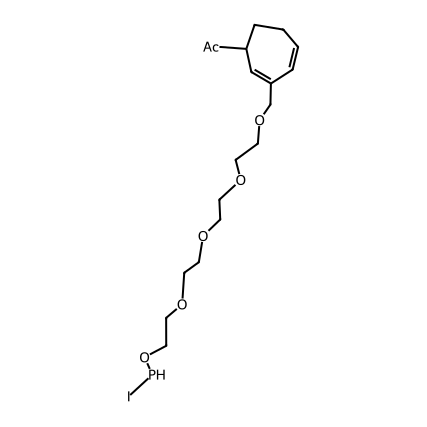 CC(=O)C1C=C(COCCOCCOCCOCCOPI)C=CCC1